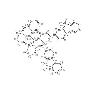 CC1(C)c2ccccc2-c2ccc(-c3ccc4c(-c5c6ccccc6nc6ccccc56)c5ccccc5c(-c5ccc6c(c5)C(C)(C)c5ccccc5-6)c4c3)cc21